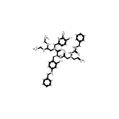 C=CCN(CC(=O)N[C@@H](Cc1ccc(OCc2ccccc2)cc1F)C(=O)N(Cc1ccc(F)c(Cl)n1)CC(OCC)OCC)NC(=O)NCc1ccccc1